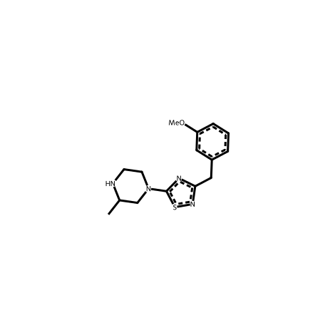 COc1cccc(Cc2nsc(N3CCNC(C)C3)n2)c1